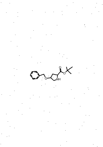 CC(C)(C)OC(=O)C1CC(OCc2ccccc2)CN1